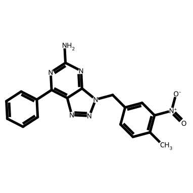 Cc1ccc(Cn2nnc3c(-c4ccccc4)nc(N)nc32)cc1[N+](=O)[O-]